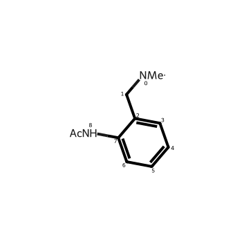 C[N]Cc1ccccc1NC(C)=O